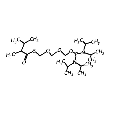 CC(C)C(C)C(=O)SCOCOCOP(N(C(C)C)C(C)C)N(C(C)C)C(C)C